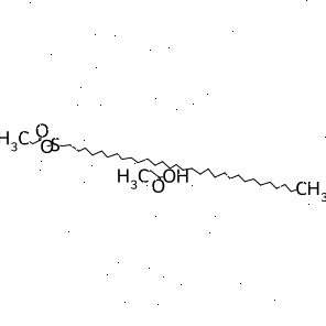 CCC(=O)O.CCCCCCCCCCCCCCCCCCCCCCCCCCCCCCCCSOC(=O)CC